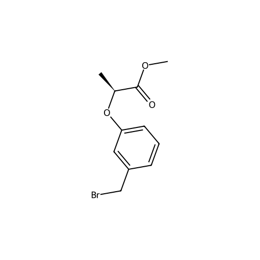 COC(=O)[C@H](C)Oc1cccc(CBr)c1